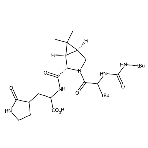 CC(C)(C)NC(=O)NC(C(=O)N1C[C@H]2[C@@H]([C@H]1C(=O)NC(CC1CCNC1=O)C(=O)O)C2(C)C)C(C)(C)C